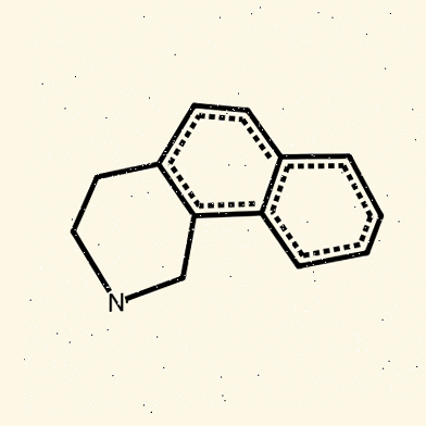 c1ccc2c3c(ccc2c1)CC[N]C3